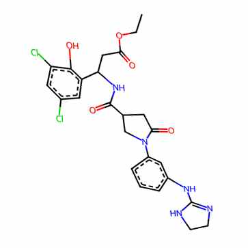 CCOC(=O)CC(NC(=O)C1CC(=O)N(c2cccc(NC3=NCCN3)c2)C1)c1cc(Cl)cc(Cl)c1O